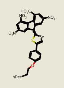 CCCCCCCCCCCCOc1ccc(C2=C[Se]/C(=C3\c4cc([N+](=O)[O-])cc(C(=O)O)c4-c4c3cc([N+](=O)[O-])cc4[N+](=O)[O-])S2)cc1